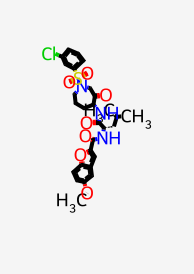 COc1ccc2oc(C(=O)N[C@@H](CC(C)C)C(=O)NC3CCCN(S(=O)(=O)c4cccc(Cl)c4)CC3=O)cc2c1